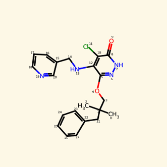 CC(C)(COc1n[nH]c(=O)c(Cl)c1NCc1cccnc1)Cc1ccccc1